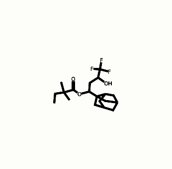 CCC(C)(C)C(=O)OC(CC(O)C(F)(F)F)C12CC3CC(CC1C3)C2